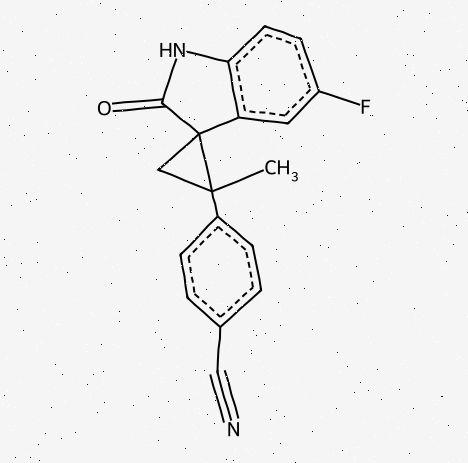 CC1(c2ccc(C#N)cc2)CC12C(=O)Nc1ccc(F)cc12